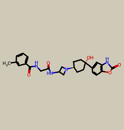 Cc1cccc(C(=O)NCC(=O)NC2CN([C@H]3CC[C@@](O)(c4ccc5oc(=O)[nH]c5c4)CC3)C2)c1